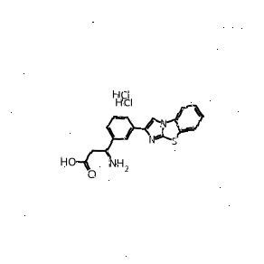 Cl.Cl.NC(CC(=O)O)c1cccc(-c2cn3c(n2)sc2ccccc23)c1